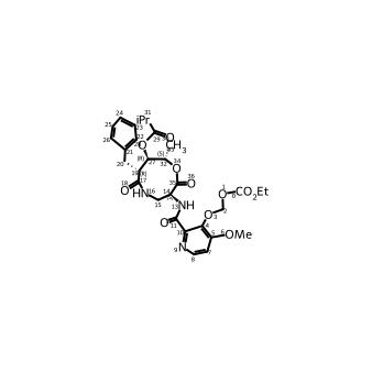 CCOC(=O)OCOc1c(OC)ccnc1C(=O)N[C@H]1CNC(=O)[C@H](Cc2ccccc2)[C@@H](OC(=O)C(C)C)[C@H](C)OC1=O